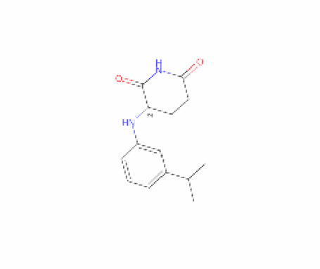 CC(C)c1cccc(N[C@H]2CCC(=O)NC2=O)c1